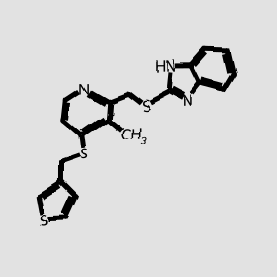 Cc1c(SCc2ccsc2)ccnc1CSc1nc2ccccc2[nH]1